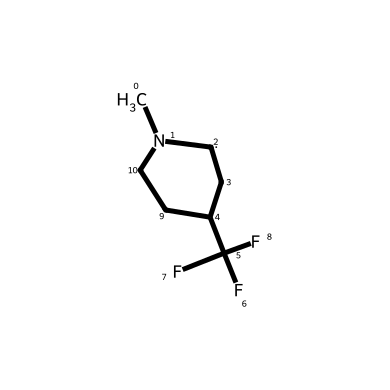 CN1[CH]CC(C(F)(F)F)CC1